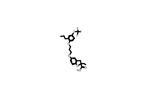 CCCc1cc(SC(F)(F)F)ccc1OCCCOc1ccc2c(c1)CC(CC)(C(=O)O)O2